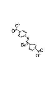 O=C([O-])c1ccc(SSc2ccc(C(=O)[O-])cc2)cc1.[Ba+2]